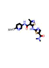 COc1ccc(NC(=O)c2c(C)nsc2Nc2ncc(C(=O)N(C)C)s2)cn1